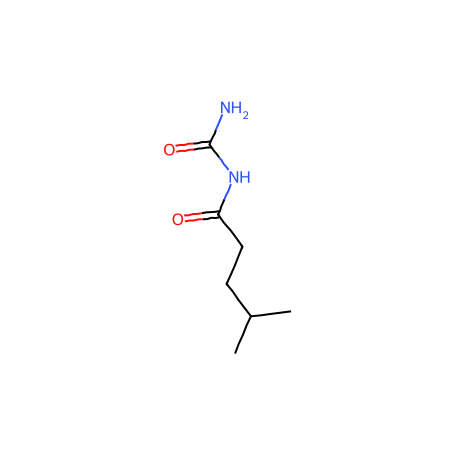 CC(C)CCC(=O)NC(N)=O